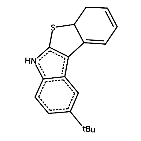 CC(C)(C)c1ccc2[nH]c3c(c2c1)C1=CC=CCC1S3